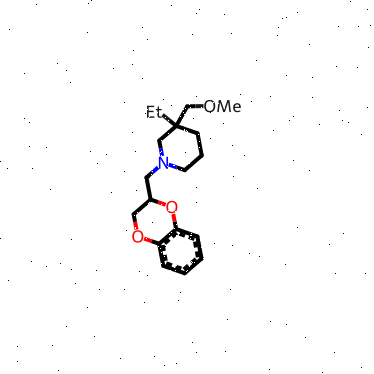 CCC1(COC)CCCN(CC2COc3ccccc3O2)C1